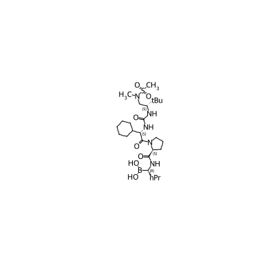 CCC[C@H](NC(=O)[C@@H]1CCCN1C(=O)[C@@H](NC(=O)N[C@H](CN(C)S(C)(=O)=O)C(C)(C)C)C1CCCCC1)B(O)O